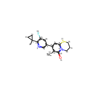 CC1(c2ncc(-c3cc4n(c(=O)c3C#N)CCCS4)cc2F)CC1